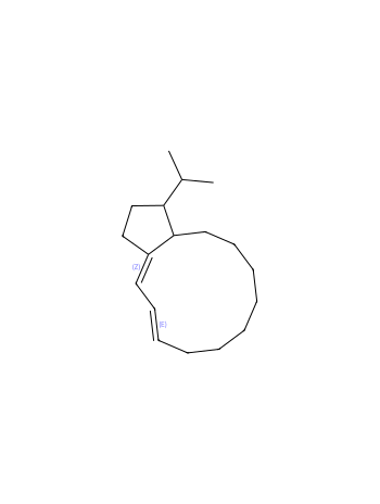 CC(C)C1CC/C2=C/C=C/CCCCCCCC21